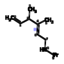 C=CC(C)/C(C)=C/CNC(C)C